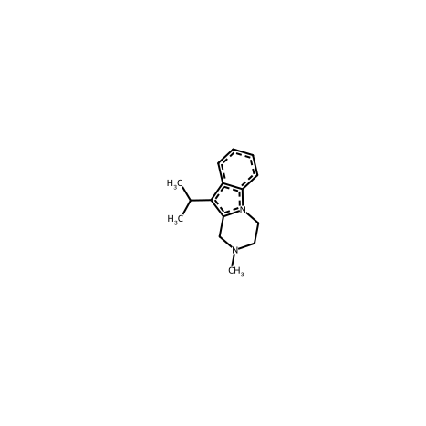 CC(C)c1c2n(c3ccccc13)CCN(C)C2